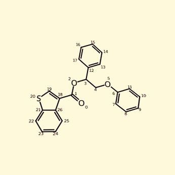 O=C(OC(COc1ccccc1)c1ccccc1)c1csc2ccccc12